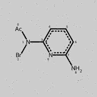 CC(=O)N(Br)c1cccc(N)n1